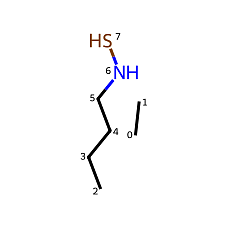 CC.CCCCNS